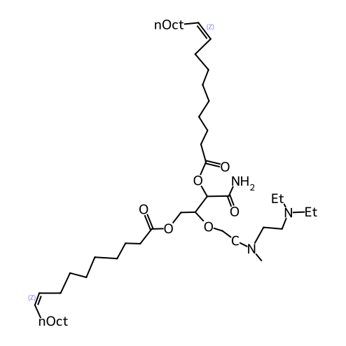 CCCCCCCC/C=C\CCCCCCCC(=O)OCC(OCCN(C)CCN(CC)CC)C(OC(=O)CCCCCCC/C=C\CCCCCCCC)C(N)=O